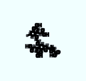 Cc1ccc(N(CC(=O)O)CC(=O)O)c(OCCOc2cc3cc(-c4ncc(C(=O)O)o4)oc3cc2N(CC(=O)O)CC(=O)O)c1